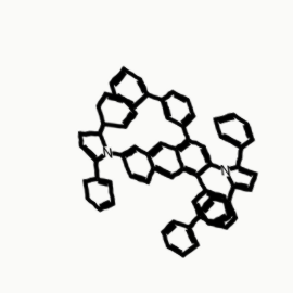 C1=CCCC(C2=CCC(C3C=CC=CC3)N2c2ccc3cc4c(-c5cccc(-c6ccccc6)c5)c(-n5c(-c6ccccc6)ccc5-c5ccccc5)cc(-c5cccc(-c6ccccc6)c5)c4cc3c2)=C1